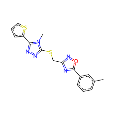 Cc1cccc(-c2nc(CSc3nnc(-c4cccs4)n3C)no2)c1